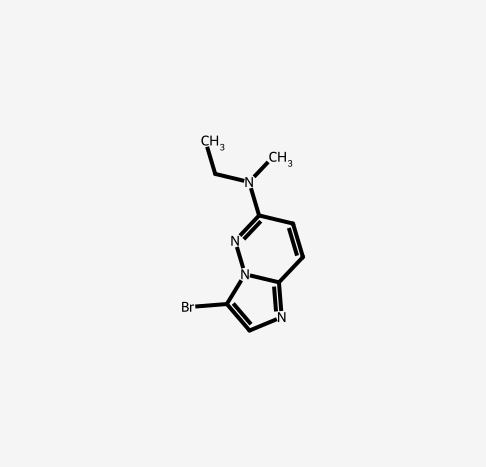 CCN(C)c1ccc2ncc(Br)n2n1